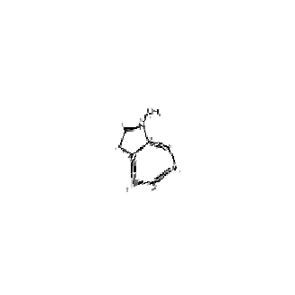 CN1CCc2ncncc21